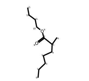 CCCCCC(C)C(=O)OCCCC